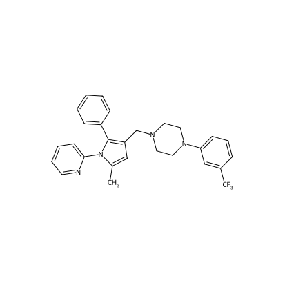 Cc1cc(CN2CCN(c3cccc(C(F)(F)F)c3)CC2)c(-c2ccccc2)n1-c1ccccn1